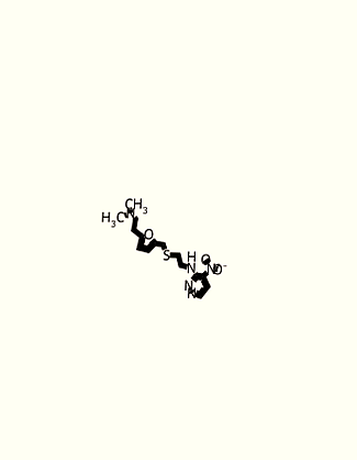 CN(C)CCc1ccc(CSCCNc2nnccc2[N+](=O)[O-])o1